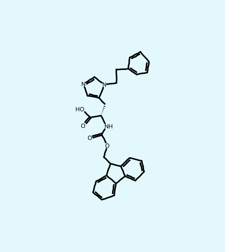 O=C(N[C@@H](Cc1cncn1CCc1ccccc1)C(=O)O)OCC1c2ccccc2-c2ccccc21